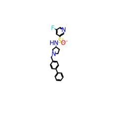 [O-][S@+](N[C@@H]1CCN(Cc2ccc(-c3ccccc3)cc2)C1)c1cncc(F)c1